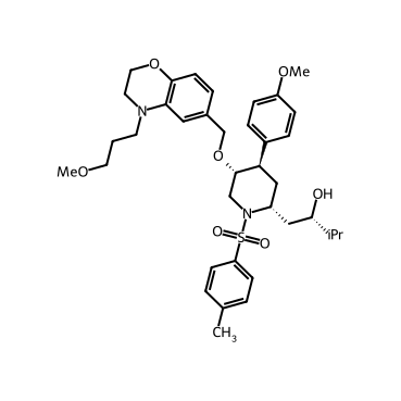 COCCCN1CCOc2ccc(CO[C@H]3CN(S(=O)(=O)c4ccc(C)cc4)[C@@H](C[C@H](O)C(C)C)C[C@@H]3c3ccc(OC)cc3)cc21